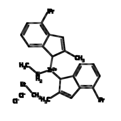 CCC.C[SiH2][Zr+2]([CH]1C(C)=Cc2c(C(C)C)cccc21)[CH]1C(C)=Cc2c(C(C)C)cccc21.[Cl-].[Cl-]